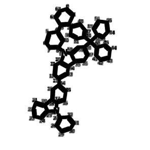 c1ccc(-c2cccc(-n3c4ccc(-c5ccc6c(c5)c5ccccc5n6-c5ccccc5)cc4c4ccc(C(c5ccccc5)(c5ccccc5)c5ccccc5)cc43)c2)cc1